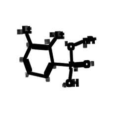 CCCOP(=O)(O)c1cccc(CC)c1CC